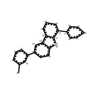 Cc1cccc(-c2ccc3oc4c(-c5ccccc5)cccc4c3c2)c1